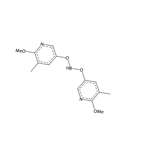 COc1ncc(OBOc2cnc(OC)c(C)c2)cc1C